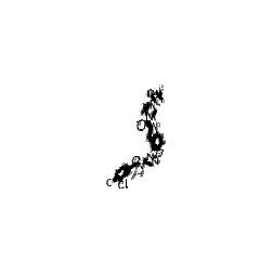 Cn1c(C(=O)N2CCN(C(=O)OC(C)(C)C)CC2)cc2cc(Oc3ncc(NC(=O)c4ccc(Cl)c(Cl)c4)cn3)ccc21